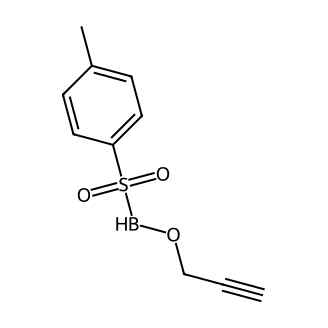 C#CCOBS(=O)(=O)c1ccc(C)cc1